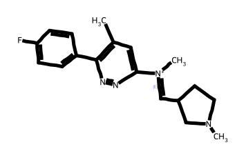 Cc1cc(/[N+](C)=C/C2CCN(C)C2)nnc1-c1ccc(F)cc1